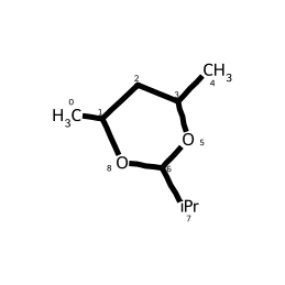 CC1CC(C)OC(C(C)C)O1